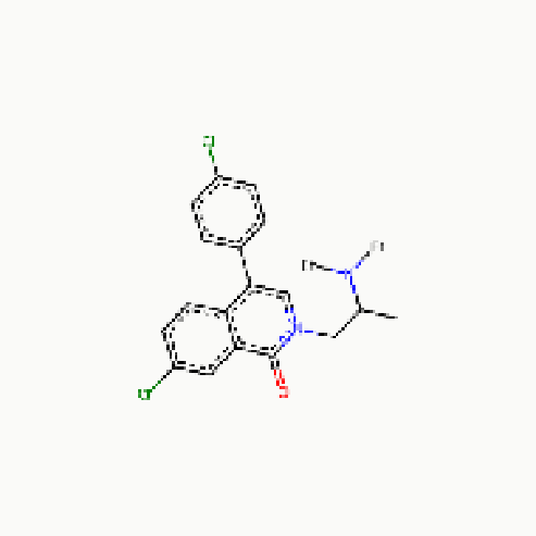 CCN(CC)C(C)Cn1cc(-c2ccc(Cl)cc2)c2ccc(Cl)cc2c1=O